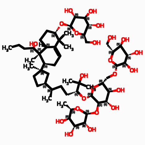 CCC[C@@H](O)[C@@]1(C)[C@@H]2CC[C@H](O[C@@H]3O[C@H](CO)[C@@H](O)[C@H](O)[C@H]3O)C(C)(C)C2=CC[C@H]1[C@]1(C)CC[C@H]([C@H](C)CC[C@@H](O[C@@H]2O[C@H](CO[C@@H]3O[C@H](CO)[C@@H](O)[C@H](O)[C@H]3O)[C@@H](O)[C@H](O)[C@H]2O[C@@H]2O[C@@H](C)[C@H](O)[C@@H](O)[C@H]2O)C(C)(C)O)C1